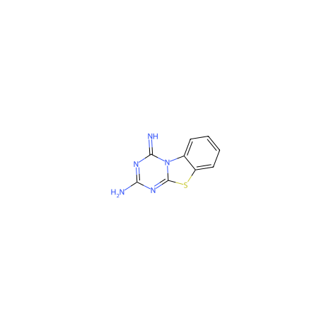 N=c1nc(N)nc2sc3ccccc3n12